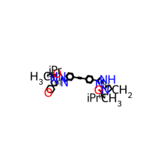 C=C1C[C@@H](c2nc(-c3ccc(C#Cc4ccc5[nH]c([C@@H]6CC7(CCOCC7)CN6C(=O)[C@@H](C)C(C)C)nc5c4)cc3)c[nH]2)N(C(=O)[C@@H](C)C(C)C)C1